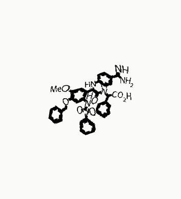 COc1cc([C@H](Nc2ccc(C(=N)N)cc2)C(=O)NC(C(=O)O)c2ccccc2)c(NS(=O)(=O)c2ccccc2)cc1OCc1ccccc1